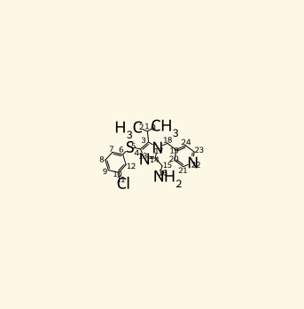 CC(C)c1c(Sc2cccc(Cl)c2)nc(CN)n1Cc1ccncc1